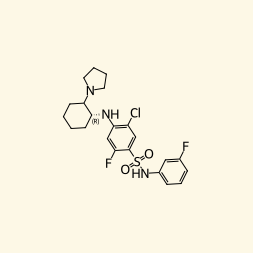 O=S(=O)(Nc1cccc(F)c1)c1cc(Cl)c(N[C@@H]2CCCCC2N2CCCC2)cc1F